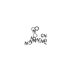 C=CC(=O)N1CCN(c2nc(N3CC[C@H](N(C)C)C3)nc3c2CC[C@@H](N2CCCc4ccccc42)C3)C[C@@H]1CC#N